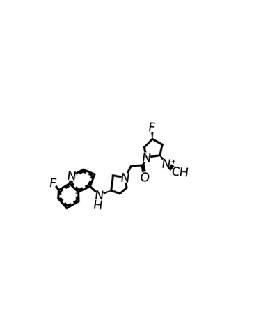 C#[N+][C@@H]1C[C@H](F)CN1C(=O)CN1CC[C@@H](Nc2ccnc3c(F)cccc23)C1